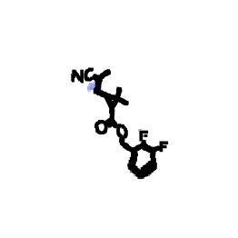 C/C(C#N)=C\C1C(C(=O)OCc2cccc(F)c2F)C1(C)C